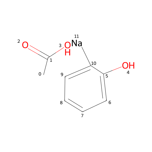 CC(=O)O.Oc1cccc[c]1[Na]